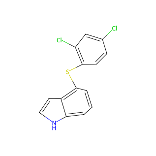 Clc1ccc(Sc2cccc3[nH]ccc23)c(Cl)c1